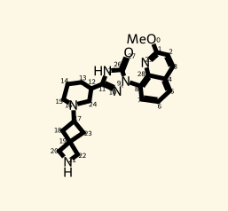 COc1ccc2cccc(-n3nc(C4CCCN(C5CC6(CNC6)C5)C4)[nH]c3=O)c2n1